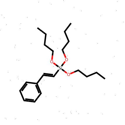 CCCCO[Si](/C=C/c1ccccc1)(OCCCC)OCCCC